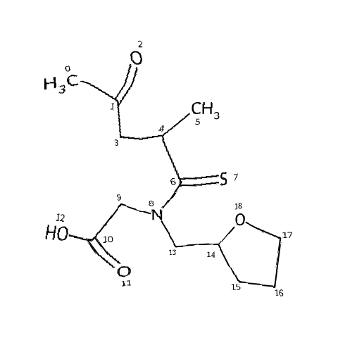 CC(=O)CC(C)C(=S)N(CC(=O)O)CC1CCCO1